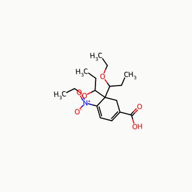 CCOC(CC)C1(C(CC)OCC)CC(C(=O)O)=CC=C1[N+](=O)[O-]